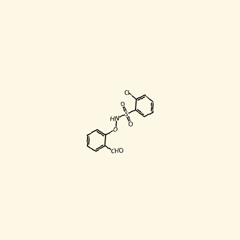 O=Cc1ccccc1ONS(=O)(=O)c1ccccc1Cl